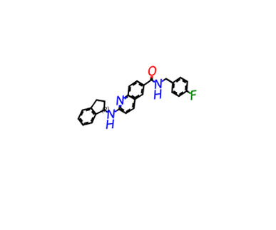 O=C(NCc1ccc(F)cc1)c1ccc2nc(N[C@@H]3CCc4ccccc43)ccc2c1